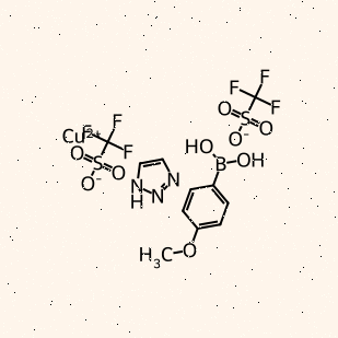 COc1ccc(B(O)O)cc1.O=S(=O)([O-])C(F)(F)F.O=S(=O)([O-])C(F)(F)F.[Cu+2].c1c[nH]nn1